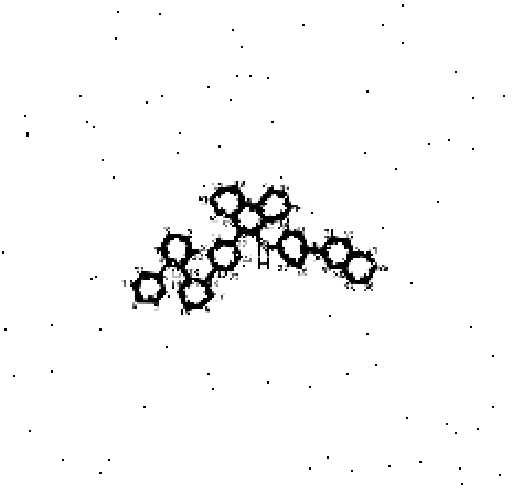 Cc1cccc(-c2ccccc2)c1-c1ccccc1-c1ccc(-c2c(Nc3ccc(-c4ccc5ccccc5c4)cc3)c3ccccc3c3ccccc23)cc1